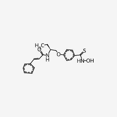 CC[C@@H](COc1ccc(C(=S)NO)cc1)NC(=O)/C=C/c1ccccc1